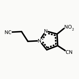 N#CCCn1cc(C#N)c([N+](=O)[O-])n1